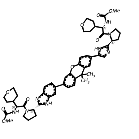 COC(=O)N[C@H](C(=O)N1CCC[C@H]1c1ncc(-c2ccc3c(c2)C(C)(C)c2ccc(-c4ccc5nc([C@@H]6CCCN6C(=O)[C@@H](NC(=O)OC)C6CCOCC6)[nH]c5c4)cc2O3)[nH]1)C1CCOCC1